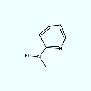 [CH2]CN(C)c1ccncn1